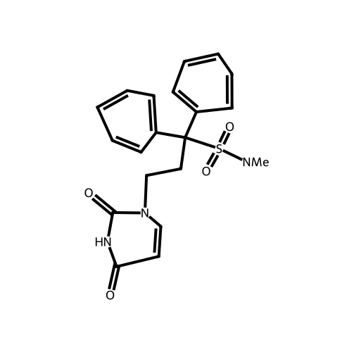 CNS(=O)(=O)C(CCn1ccc(=O)[nH]c1=O)(c1ccccc1)c1ccccc1